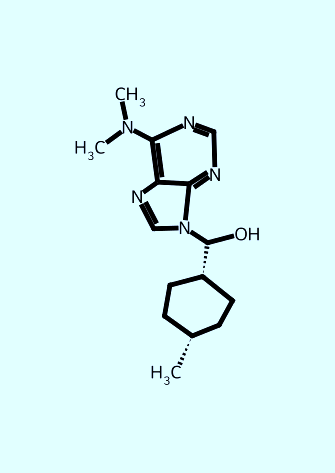 CN(C)c1ncnc2c1ncn2C(O)[C@H]1CC[C@@H](C)CC1